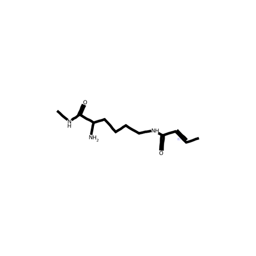 C/C=C/C(=O)NCCCCC(N)C(=O)NC